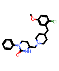 COc1ccc(Cl)c(CC2CCN(CC3CCN(c4ccccc4)C(=O)N3)CC2)c1